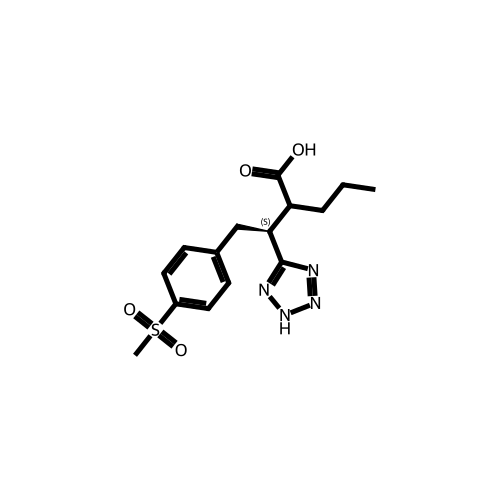 CCCC(C(=O)O)[C@H](Cc1ccc(S(C)(=O)=O)cc1)c1nn[nH]n1